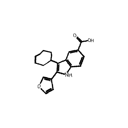 O=C(O)c1ccc2[nH]c(-c3ccoc3)c(C3CCCCC3)c2c1